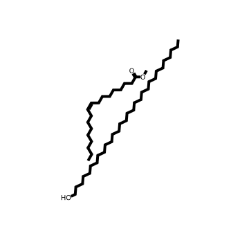 CCCCCCCC/C=C\CCCCCCCC(=O)OC.CCCCCCCCCCCCCCCCCCCCCCCCCCCCCCO